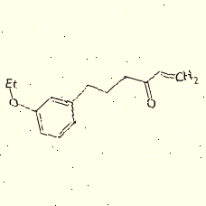 C=CC(=O)CCCc1cccc(OCC)c1